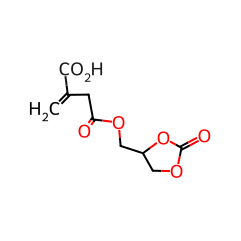 C=C(CC(=O)OCC1COC(=O)O1)C(=O)O